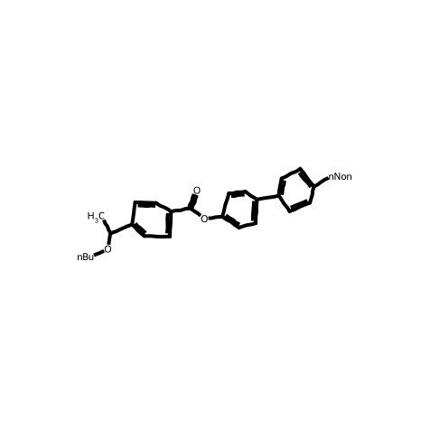 CCCCCCCCCc1ccc(-c2ccc(OC(=O)c3ccc(C(C)OCCCC)cc3)cc2)cc1